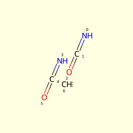 N=C=O.N=C=O.[CH]